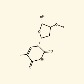 CCC[C@H]1O[C@@H](n2cc(C)c(=O)[nH]c2=O)CC1OI